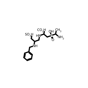 CC(N)P(=O)(O)CC(NCC(CS(=O)(=O)O)NCc1ccccc1)C(=O)O